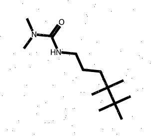 CN(C)C(=O)NCCCC(C)(C)C(C)(C)C